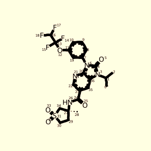 CC(C)n1c(=O)n(-c2cccc(OC(F)(F)C(F)F)c2)c2ncc(C(=O)N[C@@]3(C)CCS(=O)(=O)C3)cc21